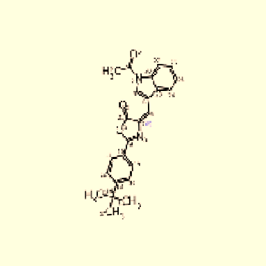 CC(=O)n1cc(/C=C2/N=C(c3ccc(C(C)(C)C)cc3)OC2=O)c2ccccc21